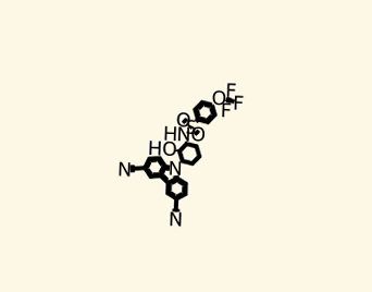 N#Cc1ccc2c(c1)c1cc(C#N)ccc1n2[C@H]1CCC[C@@H](NS(=O)(=O)c2ccc(OC(F)(F)F)cc2)[C@@H]1O